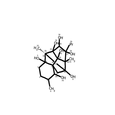 CC1CCC2(O)C3(CC4(O)C[C@]2(C)C2(O)C(O)C(O)(C(C)C)C4(C)C32O)C1O